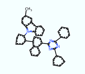 Cc1ccc2c(c1)c1ccccc1n2-c1ccccc1-c1ccc(-c2nc(-c3ccccc3)nc(-c3ccccc3)n2)c2ccccc12